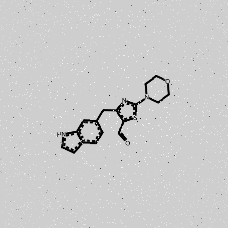 O=Cc1sc(N2CCOCC2)nc1Cc1ccc2cc[nH]c2c1